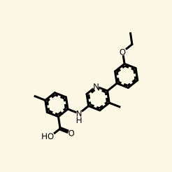 CCOc1cccc(-c2ncc(Nc3ccc(C)cc3C(=O)O)cc2C)c1